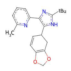 Cc1cccc(-c2nc(C(C)(C)C)[nH]c2C2C=CC3=C(C2)OCO3)n1